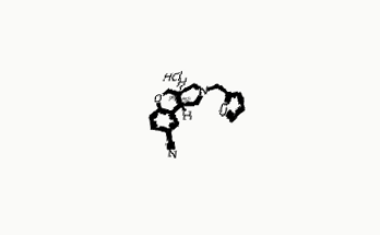 Cl.N#Cc1ccc2c(c1)[C@H]1CN(Cc3ccco3)C[C@@H]1CO2